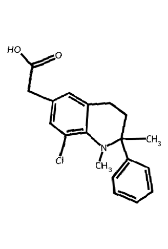 CN1c2c(Cl)cc(CC(=O)O)cc2CCC1(C)c1ccccc1